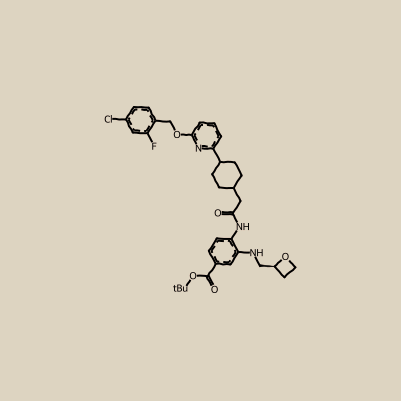 CC(C)(C)OC(=O)c1ccc(NC(=O)CC2CCC(c3cccc(OCc4ccc(Cl)cc4F)n3)CC2)c(NC[C@@H]2CCO2)c1